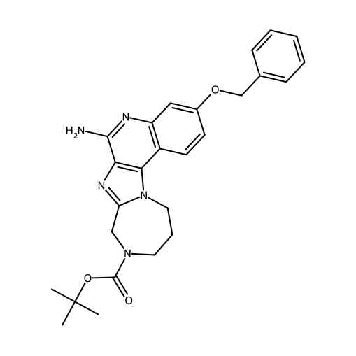 CC(C)(C)OC(=O)N1CCCn2c(nc3c(N)nc4cc(OCc5ccccc5)ccc4c32)C1